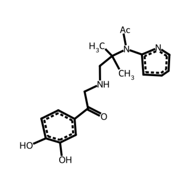 CC(=O)N(c1ccccn1)C(C)(C)CNCC(=O)c1ccc(O)c(O)c1